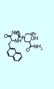 CC(C)CN(CC(O)C(N)=O)C(=O)N[C@@H](Cc1ccc2ccccc2c1)C(N)=O